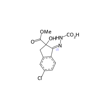 COC(=O)C1(O)Cc2cc(Cl)ccc2/C1=N/NC(=O)O